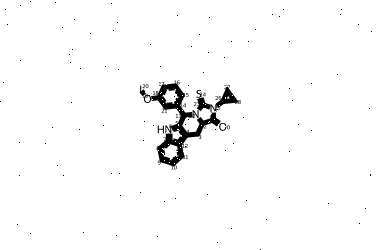 O=C1C2Cc3c([nH]c4ccccc34)C(c3cccc(OI)c3)N2C(=S)N1C1CC1